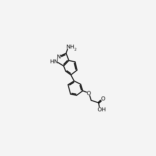 Nc1n[nH]c2cc(-c3cccc(OCC(=O)O)c3)ccc12